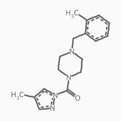 Cc1cnn(C(=O)N2CCN(Cc3ccccc3C)CC2)c1